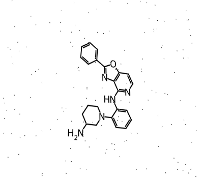 NC1CCCN(c2ccccc2Nc2nccc3oc(-c4ccccc4)nc23)C1